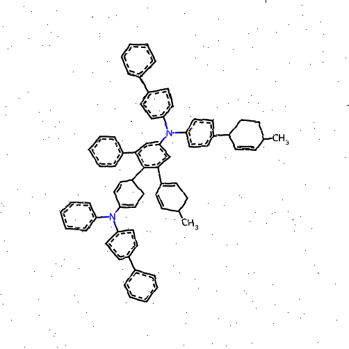 CC1C=CC(c2cc(N(c3ccc(-c4ccccc4)cc3)c3ccc(C4C=CC(C)CC4)cc3)cc(-c3ccccc3)c2C2C=CC(N(c3ccccc3)c3ccc(-c4ccccc4)cc3)=CC2)=CC1